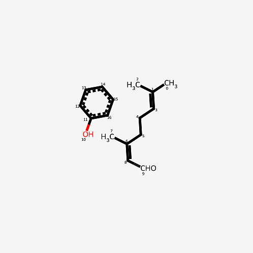 CC(C)=CCCC(C)=CC=O.Oc1ccccc1